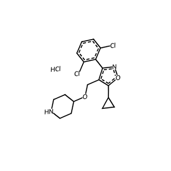 Cl.Clc1cccc(Cl)c1-c1noc(C2CC2)c1COC1CCNCC1